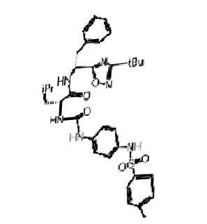 Cc1ccc(S(=O)(=O)Nc2ccc(NC(=O)N[C@H](CC(C)C)C(=O)N[C@H](Cc3ccccc3)c3nc(C(C)(C)C)no3)cc2)cc1